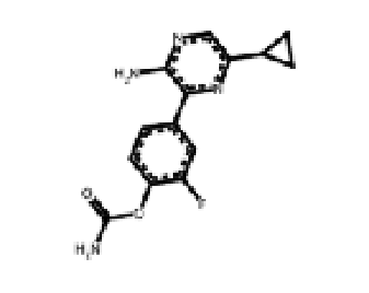 NC(=O)Oc1ccc(-c2nc(C3CC3)cnc2N)cc1F